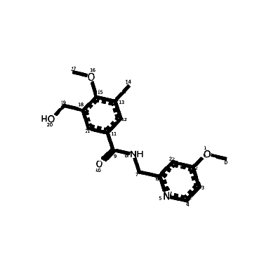 COc1ccnc(CNC(=O)c2cc(C)c(OC)c(CO)c2)c1